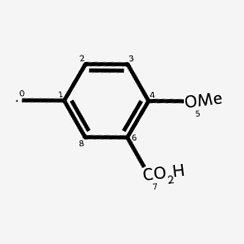 [CH2]c1ccc(OC)c(C(=O)O)c1